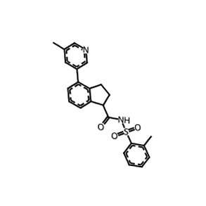 Cc1cncc(-c2cccc3c2CCC3C(=O)NS(=O)(=O)c2ccccc2C)c1